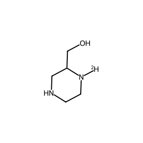 [2H]N1CCNCC1CO